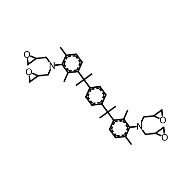 Cc1ccc(C(C)(C)c2ccc(C(C)(C)c3ccc(C)c(N(CC4CO4)CC4CO4)c3C)cc2)c(C)c1N(CC1CO1)CC1CO1